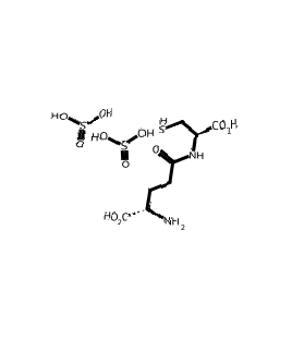 N[C@@H](CCC(=O)N[C@@H](CS)C(=O)O)C(=O)O.O=S(O)O.O=S(O)O